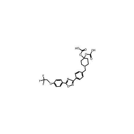 O=C(O)OC1(OC(=O)O)CCN(Cc2ccc(-c3noc(-c4ccc(OCC(F)(F)F)cc4)n3)cc2)CC1